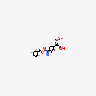 O=C(Nc1ccc(C2[C@@H](CO)[C@H]2CO)cc1)OCc1ccccc1